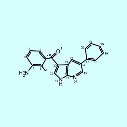 Cc1c(N)cccc1C(=O)c1c[nH]c2ncc(-c3ccccc3)cc12